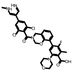 CN/C=C(\C=N)c1cc(Cl)c(C(=O)N2COc3c(cccc3-c3cc(N4CCOCC4)c(C(=O)O)c(C)c3F)C2)c(Cl)c1